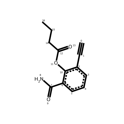 C#Cc1cccc(C(N)=O)c1OC(=O)CCC